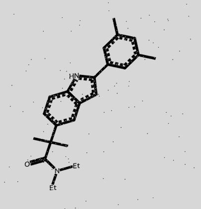 CCN(CC)C(=O)C(C)(C)c1ccc2[nH]c(-c3cc(C)cc(C)c3)[c]c2c1